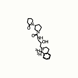 [2H]C1([2H])c2ccccc2CCN1C[C@@H](O)CNC(=O)N1CCC[C@@H](N2CCCCC2=O)C1